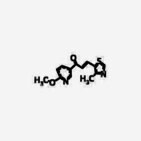 COc1ccc(C(=O)/C=C/c2scnc2C)cn1